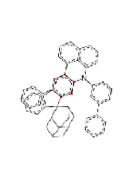 c1ccc(-c2ccc(N(c3cccc(-c4ccccc4)c3)c3cccc4cccc(-c5ccc6c(c5)-c5ccccc5C65C6CC7CC(C6)CC5C7)c34)cc2)cc1